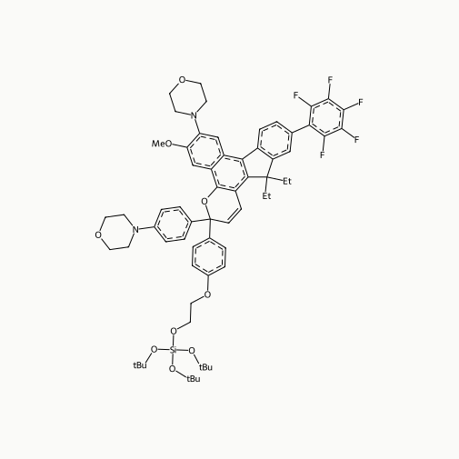 CCC1(CC)c2cc(-c3c(F)c(F)c(F)c(F)c3F)ccc2-c2c1c1c(c3cc(OC)c(N4CCOCC4)cc23)OC(c2ccc(OCCO[Si](OC(C)(C)C)(OC(C)(C)C)OC(C)(C)C)cc2)(c2ccc(N3CCOCC3)cc2)C=C1